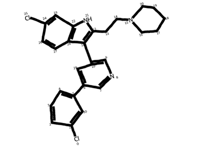 Clc1cccc(-c2cncc(-c3c(CCN4CCCCC4)[nH]c4cc(Cl)ccc34)c2)c1